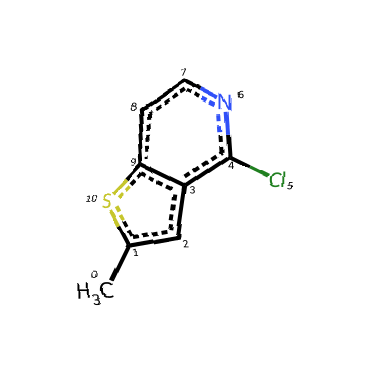 Cc1cc2c(Cl)nccc2s1